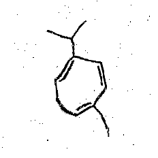 CC(C)C1=CCC=C(I)C=C1